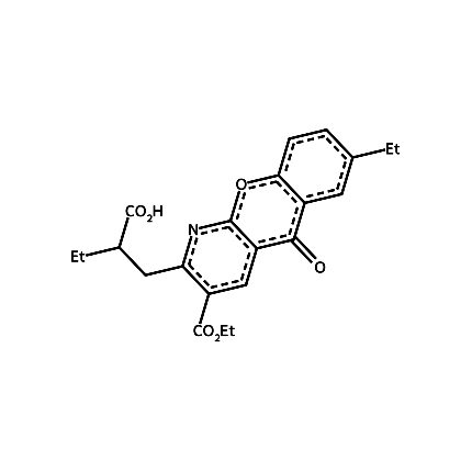 CCOC(=O)c1cc2c(=O)c3cc(CC)ccc3oc2nc1CC(CC)C(=O)O